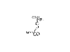 CCO[C@@H](Cc1ccc(OCC=Cc2c(OC)ccc3ccccc23)cc1)C(=O)O